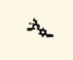 C=C[C@@H](OCc1ccc(OC)cc1)[C@@H](C)CO